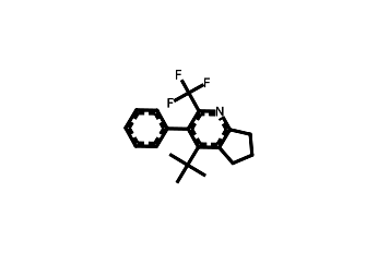 CC(C)(C)c1c2c(nc(C(F)(F)F)c1-c1ccccc1)CCC2